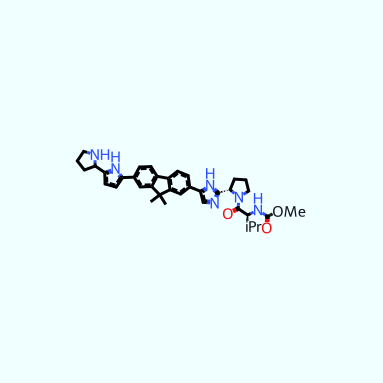 COC(=O)N[C@H](C(=O)N1CCC[C@H]1c1ncc(-c2ccc3c(c2)C(C)(C)c2cc(-c4ccc(C5CCCN5)[nH]4)ccc2-3)[nH]1)C(C)C